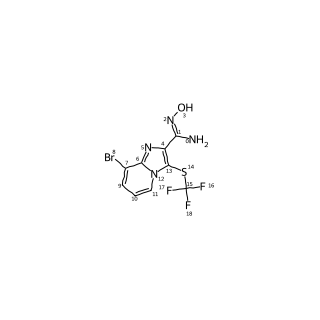 NC(=NO)c1nc2c(Br)cccn2c1SC(F)(F)F